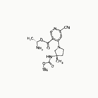 C[C@@H](N)OC(=O)c1cnc(C#N)cc1N1CC[C@](C)(NC(=O)OC(C)(C)C)C1